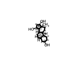 C[C@]12CC[C@H]3[C@@H](CC[C@H]4C[C@@H](O)CC[C@@]43CO)[C@@H]1[C@@H](O)C[C@@H]2O